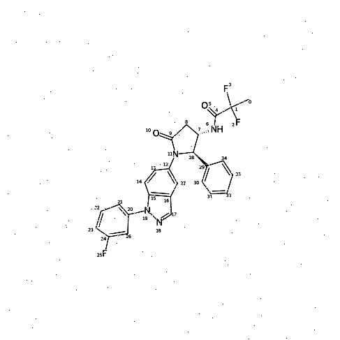 CC(F)(F)C(=O)N[C@H]1CC(=O)N(c2ccc3c(cnn3-c3cccc(F)c3)c2)[C@@H]1c1ccccc1